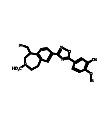 CCOc1ccc(-c2nc(-c3ccc4c(c3)CCN(C(=O)O)CC4CC(C)C)no2)cc1C#N